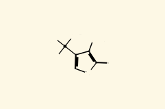 CCCC(C)(CC)c1csc(C)c1C